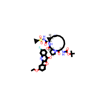 CCOc1ccc2oc3c(O[C@@H]4C[C@H]5C(=O)N[C@]6(C(=O)NS(=O)(=O)C7CC7)C[C@H]6/C=C\CCCCC[C@H](NC(=O)OC(C)(C)C)C(=O)N5C4)c4ccc(F)cc4nc3c2c1